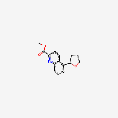 COC(=O)c1ccc2c(C3CCCO3)cccc2n1